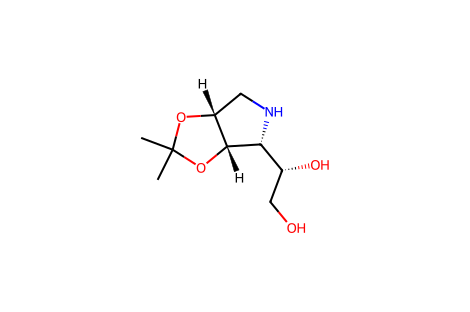 CC1(C)O[C@H]2[C@@H]([C@H](O)CO)NC[C@H]2O1